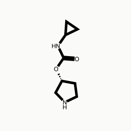 O=C(NC1CC1)O[C@@H]1CCNC1